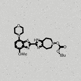 COc1ccc(N2CCOCC2)c2sc(-c3nc4c([nH]3)CCN(OC(=O)OC(C)(C)C)CC4)nc12